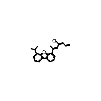 C=C/C=C(Cl)\C=C(/C)c1cccc2c1oc1c(C(C)C)cccc12